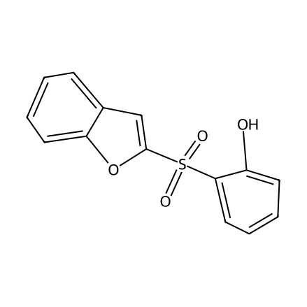 O=S(=O)(c1cc2ccccc2o1)c1ccccc1O